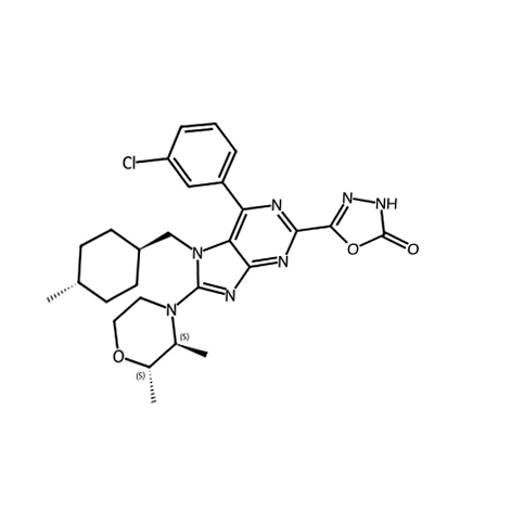 C[C@@H]1OCCN(c2nc3nc(-c4n[nH]c(=O)o4)nc(-c4cccc(Cl)c4)c3n2C[C@H]2CC[C@H](C)CC2)[C@H]1C